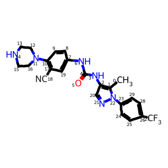 Cc1c(NC(=O)Nc2ccc(N3CCNCC3)c(C#N)c2)cnn1-c1ccc(C(F)(F)F)cc1